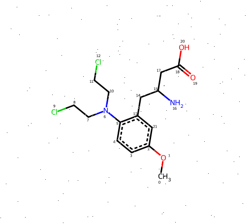 COc1ccc(N(CCCl)CCCl)c(CC(N)CC(=O)O)c1